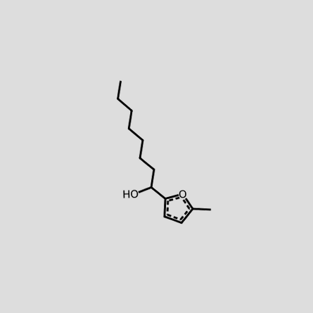 CCCCCCCC(O)c1ccc(C)o1